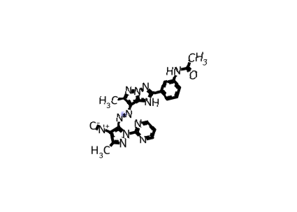 [C-]#[N+]c1c(C)nn(-c2ncccn2)c1/N=N/c1c(C)nn2nc(-c3cccc(NC(C)=O)c3)[nH]c12